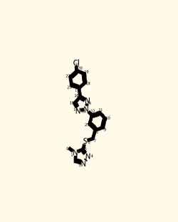 Cn1cnnc1SCc1cccc(-n2ncc(-c3ccc(Cl)cc3)n2)c1